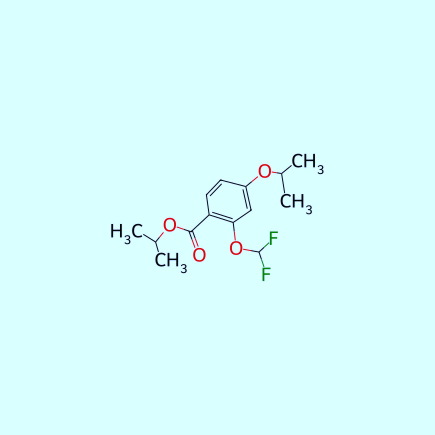 CC(C)OC(=O)c1ccc(OC(C)C)cc1OC(F)F